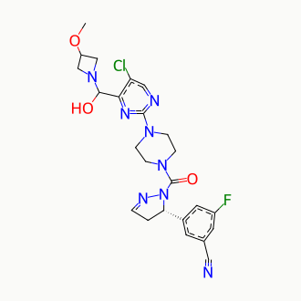 COC1CN(C(O)c2nc(N3CCN(C(=O)N4N=CC[C@H]4c4cc(F)cc(C#N)c4)CC3)ncc2Cl)C1